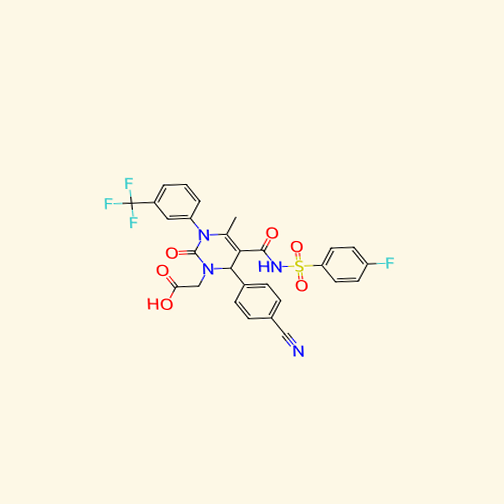 CC1=C(C(=O)NS(=O)(=O)c2ccc(F)cc2)C(c2ccc(C#N)cc2)N(CC(=O)O)C(=O)N1c1cccc(C(F)(F)F)c1